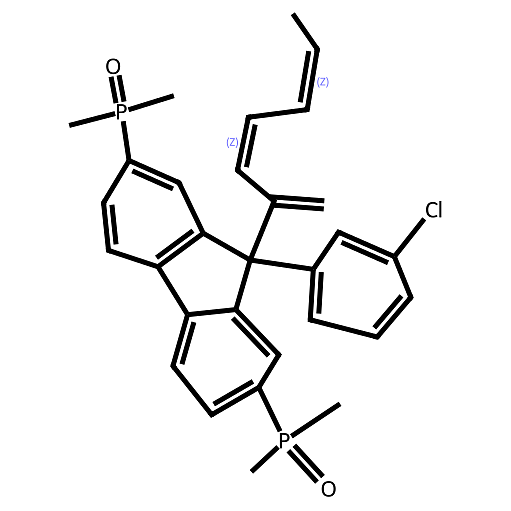 C=C(/C=C\C=C/C)C1(c2cccc(Cl)c2)c2cc(P(C)(C)=O)ccc2-c2ccc(P(C)(C)=O)cc21